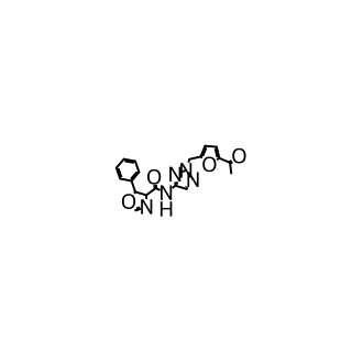 CC(=O)c1ccc(Cn2ncc(NC(=O)C3N=COC3c3ccccc3)n2)o1